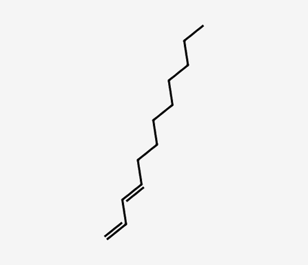 C=C/C=C/CCCCCCCC